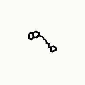 [CH](CCCCc1ccccc1)Cc1ccc2ccccc2c1